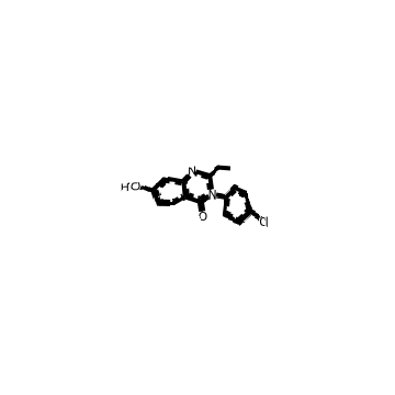 CCc1nc2cc(O)ccc2c(=O)n1-c1ccc(Cl)cc1